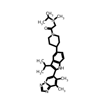 Cc1c(-c2[nH]c3ccc(C4CCN(C(=O)CN(C)C(C)C)CC4)cc3c2C(C)C)cn2ncnc2c1C